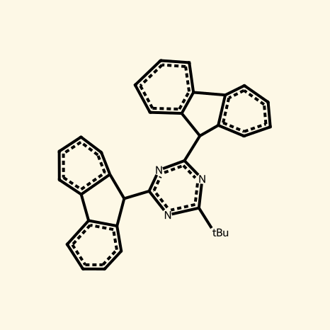 CC(C)(C)c1nc(C2c3ccccc3-c3ccccc32)nc(C2c3ccccc3-c3ccccc32)n1